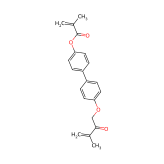 C=C(C)C(=O)COc1ccc(-c2ccc(OC(=O)C(=C)C)cc2)cc1